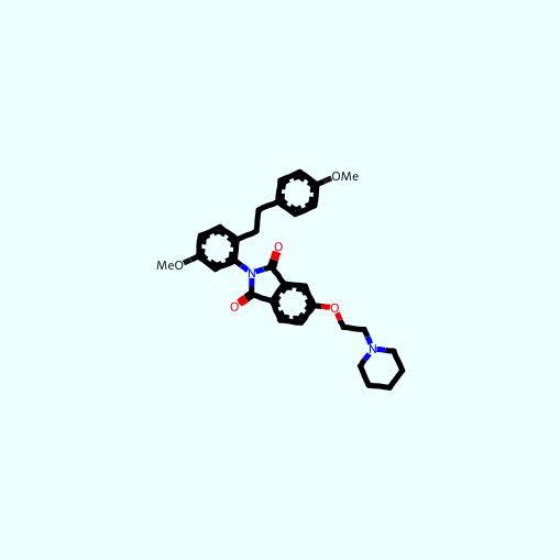 COc1ccc(CCc2ccc(OC)cc2N2C(=O)c3ccc(OCCN4CCCCC4)cc3C2=O)cc1